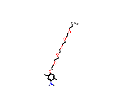 COCCOCCOCCOCCOCCOCCOc1cc(C)c(N(C)C)cc1C